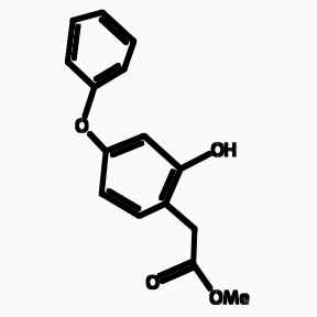 COC(=O)Cc1ccc(Oc2ccccc2)cc1O